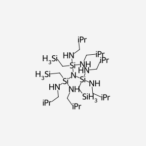 CC(C)CN[Si](C[SiH3])(NCC(C)C)N([Si](C[SiH3])(NCC(C)C)NCC(C)C)[Si](C[SiH3])(NCC(C)C)NCC(C)C